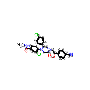 CNC(=O)c1ccc(N2CCN(C[C@@H](O)c3ccc(C#N)cc3)C[C@H]2c2ccc(Cl)cc2)c(Cl)c1